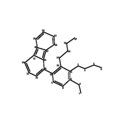 CCCCc1c(CC)ccc(-c2cccc3c2=c2ccccc2=3)c1CCCC